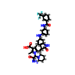 Cc1c(C(=O)O)c(C)n(C(C(N)=O)N2CCCCC2)c1C=C1C(=O)Nc2cc(Nc3cccc(NC(=O)c4cccc(C(F)(F)F)c4)c3)ccc21